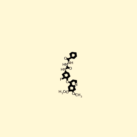 COc1cc2nccc(Oc3ccc(NC(=O)NNC(=O)c4ccccc4)cc3F)c2cc1OC